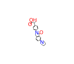 CC(C(=O)O)c1ccc(N2Cc3ccc(N4CCCC4)cc3C2=O)cc1